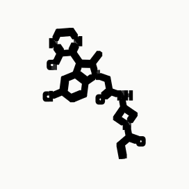 C=CC(=O)N1CC(NC(=O)Cn2c(C)c(-c3nccnc3Cl)c3cc(Cl)ccc32)C1